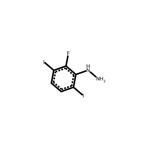 NNc1c(I)ccc(I)c1F